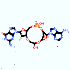 Nc1nc2c(ncn2C2OC3COP(=O)(O)OC4C(O)C(OC(O)COC3C2F)OC4n2cnc3c(N)ncnc32)c(=O)[nH]1